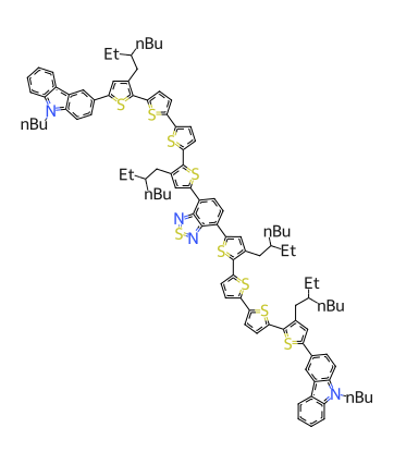 CCCCC(CC)Cc1cc(-c2ccc3c(c2)c2ccccc2n3CCCC)sc1-c1ccc(-c2ccc(-c3sc(-c4ccc(-c5cc(CC(CC)CCCC)c(-c6ccc(-c7ccc(-c8sc(-c9ccc%10c(c9)c9ccccc9n%10CCCC)cc8CC(CC)CCCC)s7)s6)s5)c5nsnc45)cc3CC(CC)CCCC)s2)s1